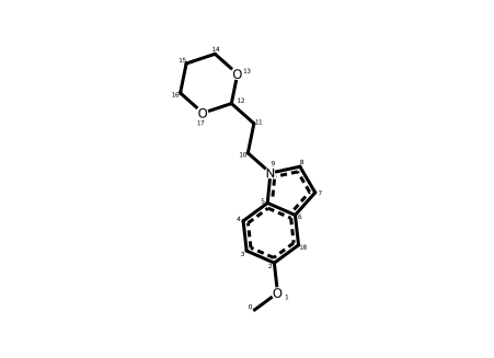 COc1ccc2c(ccn2CCC2OCCCO2)c1